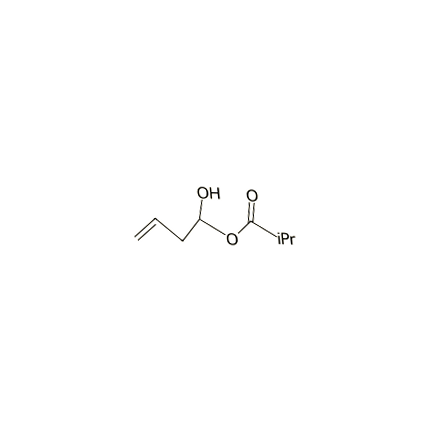 C=CCC(O)OC(=O)C(C)C